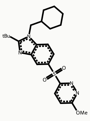 COc1ccc(S(=O)(=O)c2ccc3c(c2)nc(C(C)(C)C)n3CC2CCCCC2)nn1